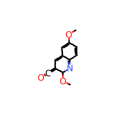 COc1ccc2c(c1)=CC(=C=O)C(OC)N=2